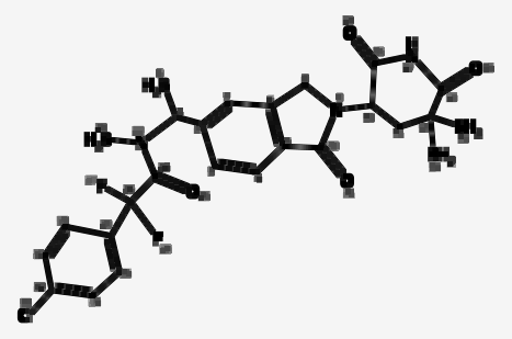 BC(c1ccc2c(c1)CN(C1CC(B)(B)C(=O)NC1=O)C2=O)N(B)C(=O)C(F)(F)c1ccc(Cl)cc1